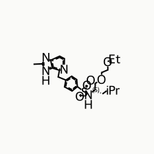 CCOCCOC(=O)[C@H](CC(C)C)NS(=O)(=O)c1ccc(Cc2nccc3nc(C)[nH]c23)cc1